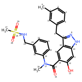 Cc1cccc(Cc2n[nH]c3cc(O)c(C(=O)N(C)c4cccc(CNS(C)(=O)=O)c4)cc23)c1